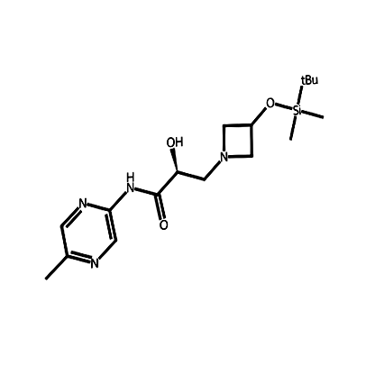 Cc1cnc(NC(=O)[C@@H](O)CN2CC(O[Si](C)(C)C(C)(C)C)C2)cn1